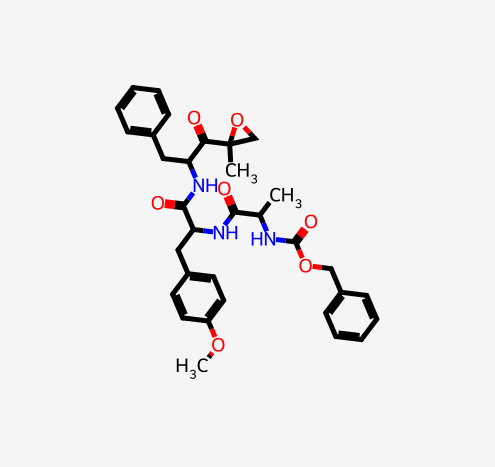 COc1ccc(CC(NC(=O)C(C)NC(=O)OCc2ccccc2)C(=O)NC(Cc2ccccc2)C(=O)C2(C)CO2)cc1